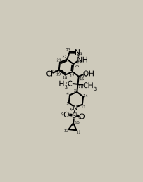 CC(C)(C1CCN(S(=O)(=O)C2CC2)CC1)C(O)c1cc(Cl)cc2cn[nH]c12